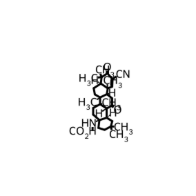 CC1(C)CC[C@]2(NC(=O)O)CC[C@]3(C)[C@H](C(=O)C[C@@H]4[C@@]5(C)C=C(C#N)C(=O)C(C)(C)[C@@H]5CC[C@]43C)[C@H]2C1